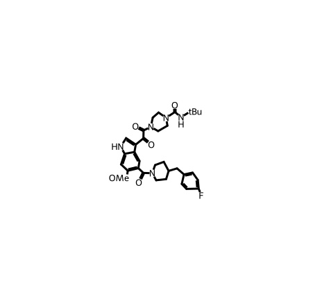 COc1cc2[nH]cc(C(=O)C(=O)N3CCN(C(=O)NC(C)(C)C)CC3)c2cc1C(=O)N1CCC(Cc2ccc(F)cc2)CC1